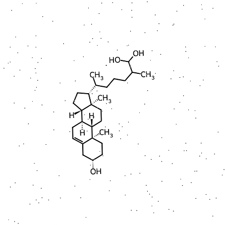 CC(CCCC(C)[C@H]1CC[C@H]2[C@@H]3CC=C4C[C@@H](O)CC[C@]4(C)[C@H]3CC[C@]12C)C(O)O